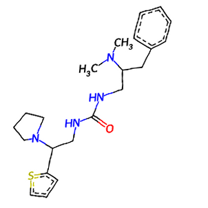 CN(C)C(CNC(=O)NCC(c1cccs1)N1CCCC1)Cc1ccccc1